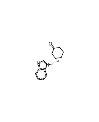 O=C1CCC[C@H](Cn2cnc3ccccc32)C1